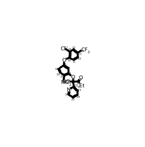 CCC(=O)C(C#N)(Oc1cc(Oc2ccc(C(F)(F)F)cc2Cl)ccc1[N+](=O)[O-])c1ccccn1